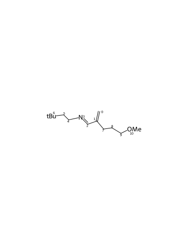 C=C(/C=N/CCC(C)(C)C)CCCOC